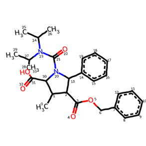 CC1C(C(=O)OCc2ccccc2)C(c2ccccc2)N(C(=O)N(C(C)C)C(C)C)C1C(=O)O